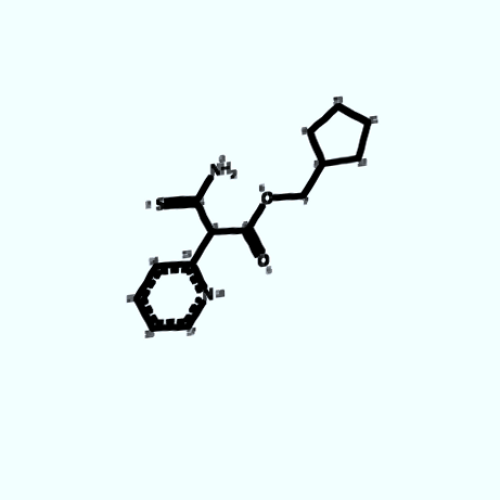 NC(=S)C(C(=O)OCC1CCCC1)c1ccccn1